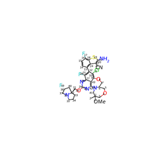 COC1(C)COCC2COc3c(Cl)c(-c4ccc(F)c5sc(N)c(C#N)c45)c(F)c4nc(OC[C@@]56CCCN5C[C@H](F)C6)nc(c34)N2C1